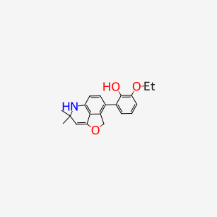 CCOc1cccc(-c2ccc3c4c2COC4=CC(C)(C)N3)c1O